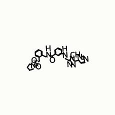 Cn1c(CNc2cccc(C(=O)NCc3ccccc3CS(=O)(=O)N3CCCC3)c2)nnc1-c1ccncn1